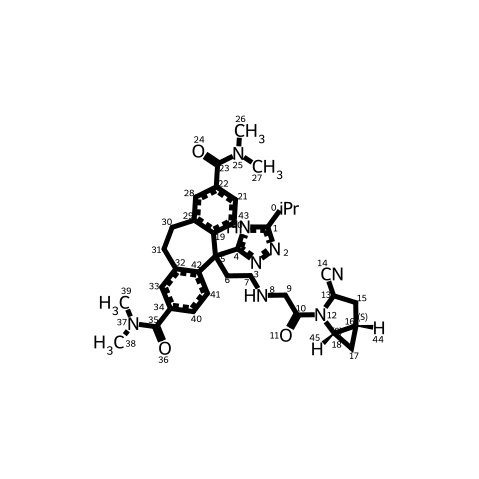 CC(C)c1nnc(C2(CCNCC(=O)N3C(C#N)C[C@@H]4C[C@@H]43)c3ccc(C(=O)N(C)C)cc3CCc3cc(C(=O)N(C)C)ccc32)[nH]1